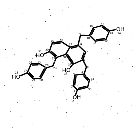 Oc1ccc(Cc2cc(Cc3ccc(O)cc3)c3ccc(O)c(Cc4ccc(O)cc4)c3c2O)cc1